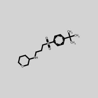 CC(C)(C)c1ccc(S(=O)(=O)CCCNC2CCCOC2)cc1